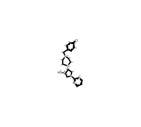 O[C@@H]1CN(c2ncccn2)C[C@H]1N1CCN(Cc2ccc(Cl)cc2)CC1